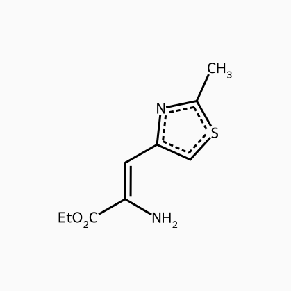 CCOC(=O)/C(N)=C/c1csc(C)n1